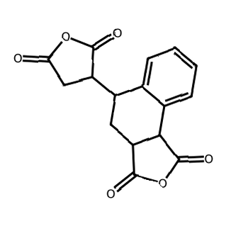 O=C1CC(C2CC3C(=O)OC(=O)C3c3ccccc32)C(=O)O1